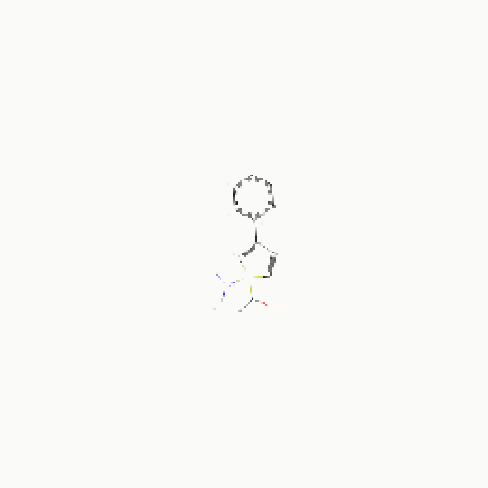 CCC(O)S1(N(CC)CC)C=CC(c2ccccc2)=C1